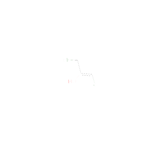 OC(=CCl)CCl